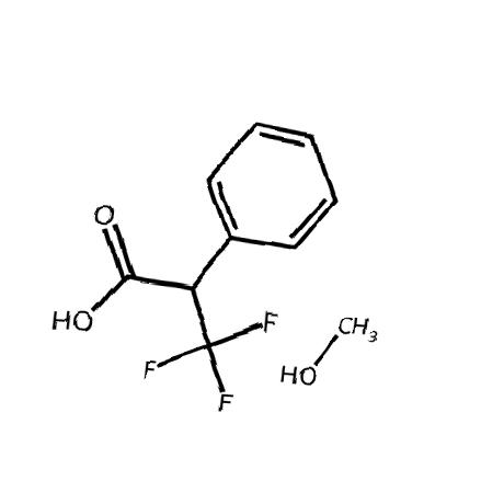 CO.O=C(O)C(c1ccccc1)C(F)(F)F